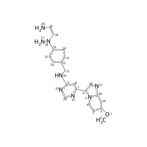 COc1ccn2c(-c3cc(NCc4ccc(N(N)/C=C\N)cc4)ncn3)cnc2c1